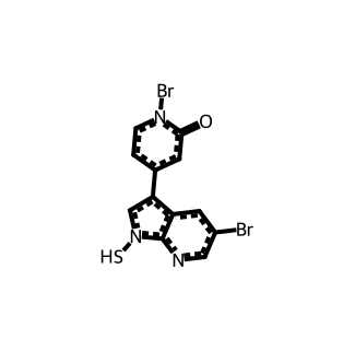 O=c1cc(-c2cn(S)c3ncc(Br)cc23)ccn1Br